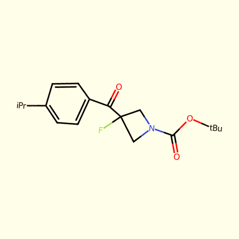 CC(C)c1ccc(C(=O)C2(F)CN(C(=O)OC(C)(C)C)C2)cc1